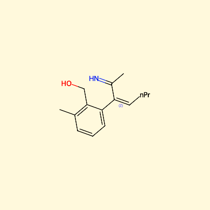 CCC/C=C(\C(C)=N)c1cccc(C)c1CO